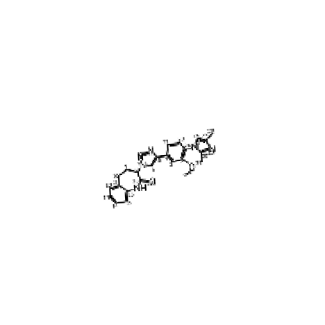 COc1cc(-c2cn(C3CCc4ccccc4NC3=O)nn2)ccc1-n1cc(C)nc1C